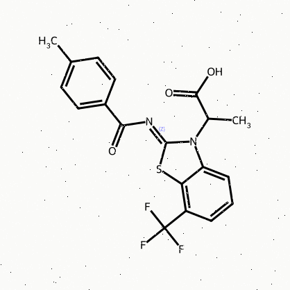 Cc1ccc(C(=O)/N=c2\sc3c(C(F)(F)F)cccc3n2C(C)C(=O)O)cc1